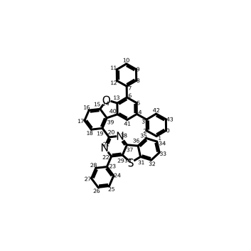 c1ccc(-c2cc(-c3ccccc3)c3oc4cccc(-c5nc(-c6ccccc6)c6sc7ccccc7c6n5)c4c3c2)cc1